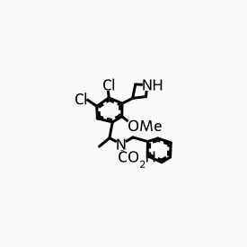 COc1c(C(C)N(Cc2ccccc2)C(=O)O)cc(Cl)c(Cl)c1C1CNC1